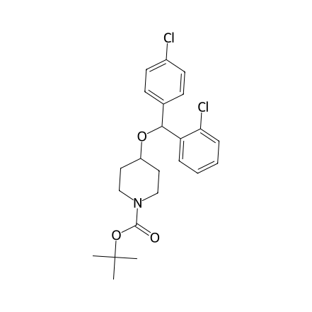 CC(C)(C)OC(=O)N1CCC(OC(c2ccc(Cl)cc2)c2ccccc2Cl)CC1